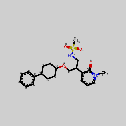 Cn1cccc(C(CNS(C)(=O)=O)COC2CCC(c3ccccc3)CC2)c1=O